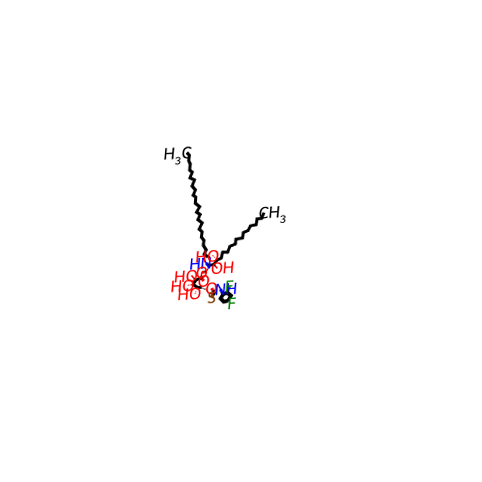 CCCCCCCCCCCCCCCCCCCCCCCCCCN[C@@H](CO[C@H]1O[C@H](COC(=S)Nc2ccc(F)cc2F)[C@H](O)[C@H](O)[C@H]1O)[C@H](O)[C@H](O)CCCCCCCCCCCCCC